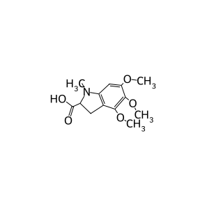 COc1cc2c(c(OC)c1OC)CC(C(=O)O)N2C